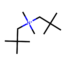 CC(C)(C)C[N+](C)(C)CC(C)(C)C